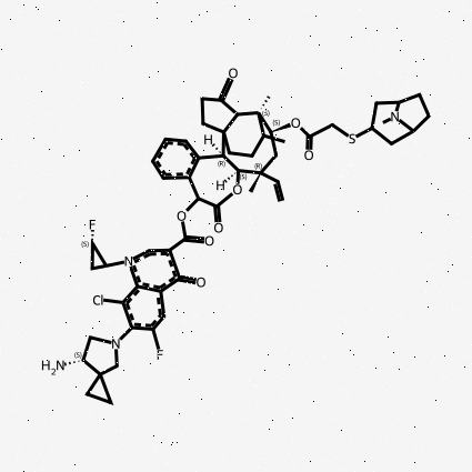 C=C[C@@]1(C)C[C@H](OC(=O)CSC2CC3CCC(C2)N3C)[C@@]2(C)C(C)CCC3(CCC(=O)C32)[C@@H]2c3ccccc3C(OC(=O)c3cn(C4C[C@@H]4F)c4c(Cl)c(N5C[C@@H](N)C6(CC6)C5)c(F)cc4c3=O)C(=O)O[C@@H]21